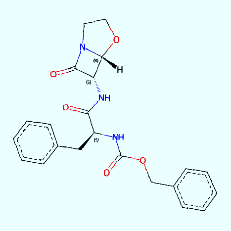 O=C(N[C@@H](Cc1ccccc1)C(=O)N[C@@H]1C(=O)N2CCO[C@H]12)OCc1ccccc1